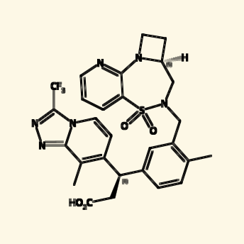 Cc1ccc([C@@H](CC(=O)O)c2ccn3c(C(F)(F)F)nnc3c2C)cc1CN1C[C@@H]2CCN2c2ncccc2S1(=O)=O